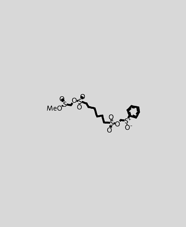 COS(=O)COS(=O)(=O)CCCCCCS(=O)(=O)OC[S@@+]([O-])c1ccccc1